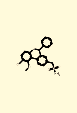 COc1c(Cl)ccc2c1-c1ccc(CS(N)(=O)=O)cc1C(c1ccccc1)O2